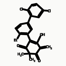 C=C1C(=O)C(C)(C)C(=O)C(c2cc(-c3cc(Cl)ccc3Cl)ccc2CC)=C1O